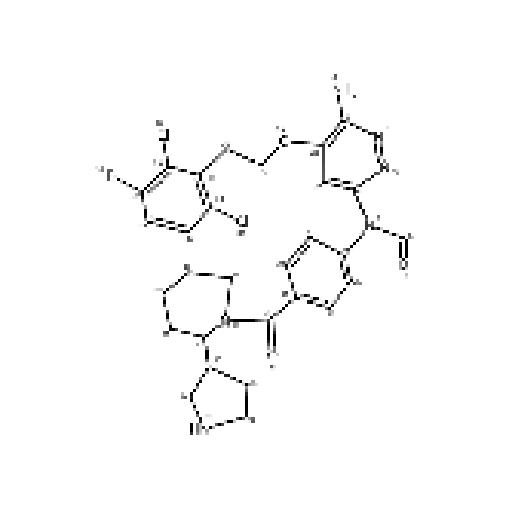 Nc1nnc(N(C=O)c2ccc(C(=O)N3CCCCC3C3CCNC3)cc2)cc1OCCc1c(Cl)ccc(F)c1Cl